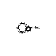 CCCCCCc1ccc2c(c1)OCCOCCOCCO2